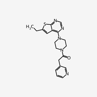 CCc1cc2c(N3CCN(C(=O)Cc4cccnc4)CC3)ncnc2s1